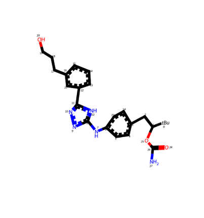 CC(C)(C)C(Cc1ccc(Nc2nnc(-c3cccc(CCCO)c3)[nH]2)cc1)OC(N)=O